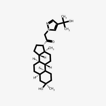 CC(C)(O)c1cnn(CC(=O)[C@H]2CC[C@H]3[C@@H]4CC[C@@H]5C[C@](C)(O)CC[C@]5(F)[C@H]4CC[C@]23C)c1